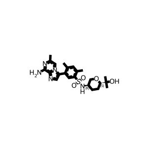 Cc1cn2c(-c3cc(S(=O)(=O)N[C@@H]4CC[C@@H](C(C)(C)O)OC4)c(C)cc3C)cnc2c(N)n1